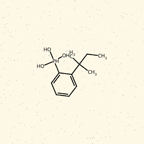 CCC(C)(C)c1ccccc1[PH](O)(O)O